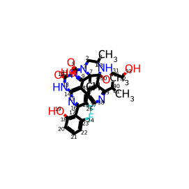 CC1CN(C(=O)O)C(C)(c2nc(=O)[nH]c3nc(-c4c(O)cccc4F)c(F)cc23)C(OCCO)(c2cccnc2C(C)C)N1